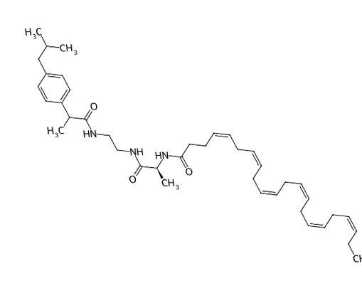 CC/C=C\C/C=C\C/C=C\C/C=C\C/C=C\C/C=C\CCC(=O)N[C@@H](C)C(=O)NCCNC(=O)C(C)c1ccc(CC(C)C)cc1